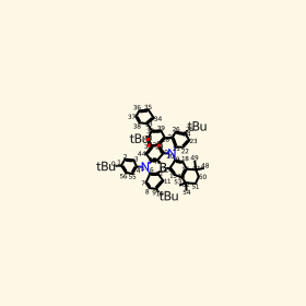 CC(C)(C)c1ccc(N2c3ccc(C(C)(C)C)cc3B3c4cc5c(cc4N(c4ccc(C(C)(C)C)cc4-c4cccc(-c6ccccc6)c4)c4cc(C(C)(C)C)cc2c43)C(C)(C)CCC5(C)C)cc1